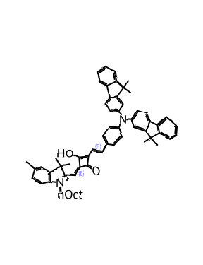 CCCCCCCC[N+]1=C(/C=C2/C(=O)C(/C=C/c3ccc(N(c4ccc5c(c4)C(C)(C)c4ccccc4-5)c4ccc5c(c4)C(C)(C)c4ccccc4-5)cc3)=C2O)C(C)(C)c2cc(C)ccc21